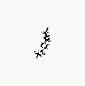 COC(=O)c1cc(N2CCN(C(=O)OC(C)(C)C)CC2)cs1